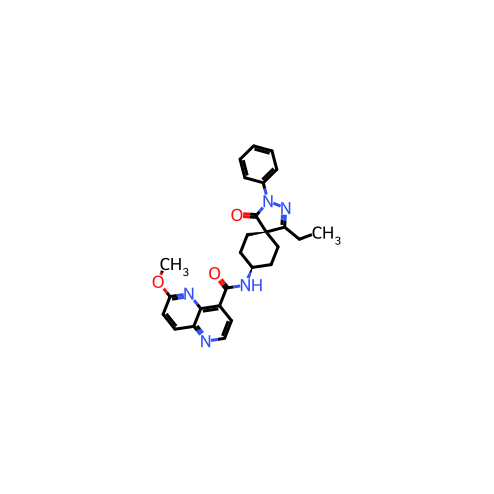 CCC1=NN(c2ccccc2)C(=O)[C@]12CC[C@H](NC(=O)c1ccnc3ccc(OC)nc13)CC2